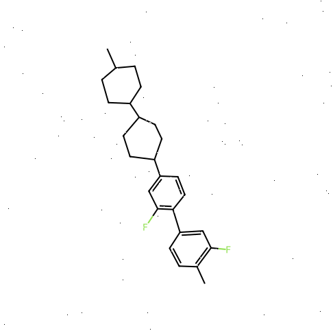 Cc1ccc(-c2ccc(C3CCC(C4CCC(C)CC4)CC3)cc2F)cc1F